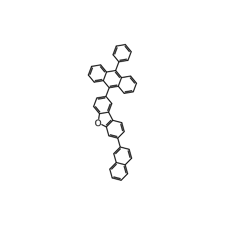 c1ccc(-c2c3ccccc3c(-c3ccc4oc5cc(-c6ccc7ccccc7c6)ccc5c4c3)c3ccccc23)cc1